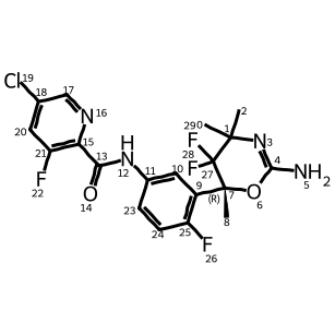 CC1(C)N=C(N)O[C@](C)(c2cc(NC(=O)c3ncc(Cl)cc3F)ccc2F)C1(F)F